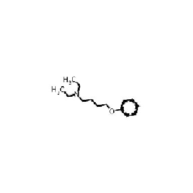 CCN(CC)CCCCOc1cc[c]cc1